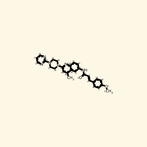 COc1ccc(/C=C/C(=O)Nc2ccc3nc(N4CCN(c5ncccn5)CC4)cc(C)c3c2)cc1